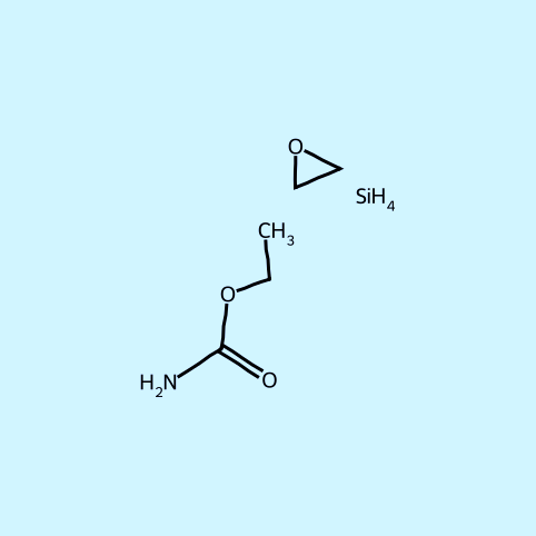 C1CO1.CCOC(N)=O.[SiH4]